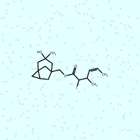 C/C=C\C(C)C(I)C(=O)OCC12CC3CC3(CC(C)(O)C1)C2